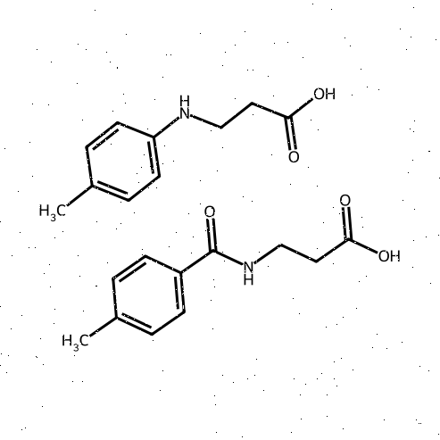 Cc1ccc(C(=O)NCCC(=O)O)cc1.Cc1ccc(NCCC(=O)O)cc1